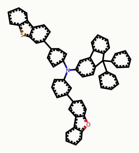 c1ccc(C2(c3ccccc3)c3ccccc3-c3cc(N(c4ccc(-c5ccc6c(c5)sc5ccccc56)cc4)c4cccc(-c5ccc6oc7ccccc7c6c5)c4)ccc32)cc1